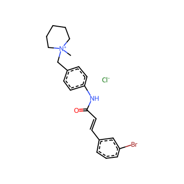 C[N+]1(Cc2ccc(NC(=O)C=Cc3cccc(Br)c3)cc2)CCCCC1.[Cl-]